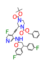 CC(C)(C)OC(=O)N1CCN(C(=O)OCc2ccccc2)C(C#Cc2c(F)cncc2NC(=O)CC(c2ccc(F)cc2)c2ccc(F)cc2)C1